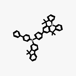 CC1(C)c2ccccc2-c2ccc(N(c3ccc(-c4ccccc4)cc3)c3ccc(-c4cc5c6c(c4)C(C)(C)c4ccccc4N6c4ccccc4C5(C)C)cc3)cc21